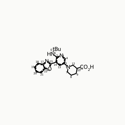 CC(C)(C)Nc1ncc(N2CCCC(C(=O)O)C2)cc1-c1nc2ccccc2o1